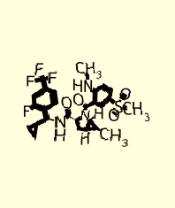 CCNc1ccc(S(C)(=O)=O)cc1C(=O)N1[C@@H]2[C@H](C)[C@@H]2C[C@@H]1C(=O)N[C@@H](c1ccc(C(F)(F)F)cc1F)C1CC1